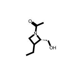 CCC1CN(C(C)=O)[C@@H]1CO